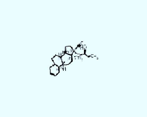 C#C[C@]1(OC(=O)C=C)CC[C@H]2[C@@H]3CCC4CC=CC[C@@H]4[C@H]3CC[C@@]21C